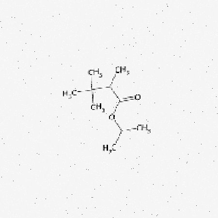 CC(C)OC(=O)C(C)C(C)(C)C